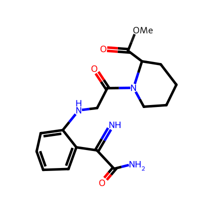 COC(=O)C1CCCCN1C(=O)CNc1ccccc1C(=N)C(N)=O